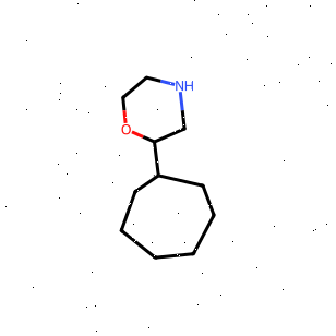 C1CCC[C](C2CNCCO2)CC1